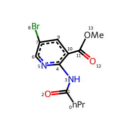 CCCC(=O)Nc1ncc(Br)cc1C(=O)OC